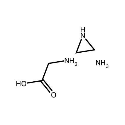 C1CN1.N.NCC(=O)O